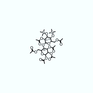 CC(=O)OCC1OC(OC(C)=O)C(OC(C)=O)C(OC(C)=O)[C@@H]1O[C@@H]1OC(COC(C)=O)[C@H](O[Si](C)(C)C)C(O[Si](C)(C)C)[C@@H]1OC(C)=O